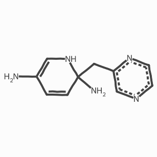 NC1=CNC(N)(Cc2cnccn2)C=C1